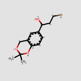 CC1(C)OCc2cc(C(O)CCBr)ccc2O1